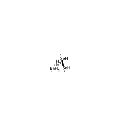 [BaH2].[InH3].[SeH][SeH]